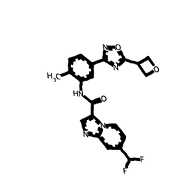 Cc1ccc(-c2noc(C3COC3)n2)cc1NC(=O)c1cnc2cc(C(F)F)ccn12